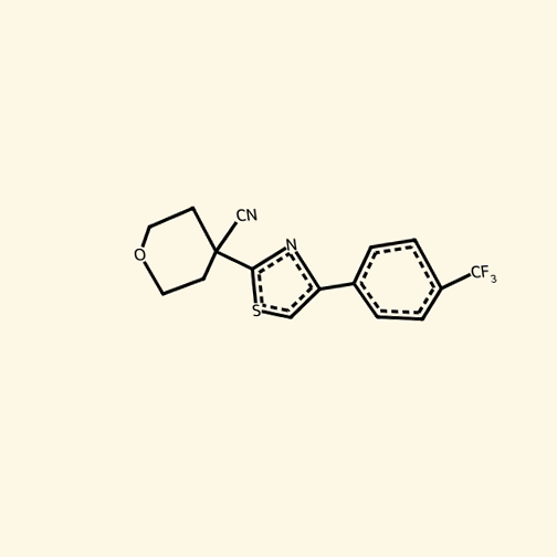 N#CC1(c2nc(-c3ccc(C(F)(F)F)cc3)cs2)CCOCC1